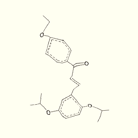 CCOc1ccc(C(=O)C=Cc2cc(OC(C)C)ccc2OC(C)C)cc1